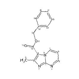 Cc1nc2ncccn2c1C(=O)OCc1ccccc1